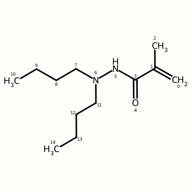 C=C(C)C(=O)NN(CCCC)CCCC